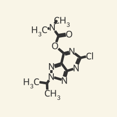 CC(C)n1nc2nc(Cl)nc(OC(=O)N(C)C)c2n1